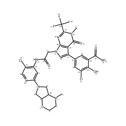 CN1CCOC2CN(c3cc(NC(=O)Cn4cc(-c5cc(Cl)c(O)c(C(N)=O)c5)c5c(=O)n(C)c(C(F)(F)F)nc54)c(Cl)cn3)CC21